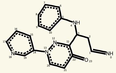 N=CCC(Nc1ccccc1)c1nn(-c2cccnc2)ccc1=O